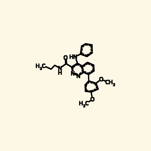 CCCNC(=O)c1nnc2c(-c3ccc(OC)cc3OC)cccc2c1Nc1ccccc1